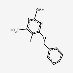 CSc1nc(OCc2ccccc2)c(I)c(C(=O)O)n1